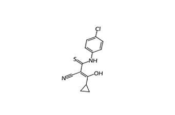 N#CC(C(=S)Nc1ccc(Cl)cc1)=C(O)C1CC1